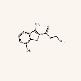 CCOC(=O)C1=C(C)c2cccc(C)c2C1